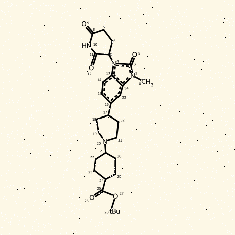 Cn1c(=O)n(C2CCC(=O)NC2=O)c2ccc(C3CCN(C4CCC(C(=O)OC(C)(C)C)CC4)CC3)cc21